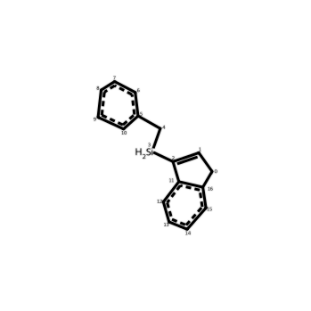 [CH]1C=C([SiH2]Cc2ccccc2)c2ccccc21